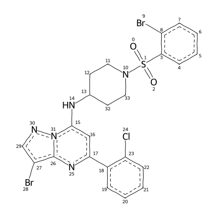 O=S(=O)(c1ccccc1Br)N1CCC(Nc2cc(-c3ccccc3Cl)nc3c(Br)cnn23)CC1